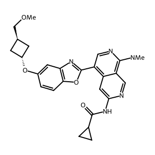 CNc1ncc(-c2nc3cc(O[C@H]4C[C@H](COC)C4)ccc3o2)c2cc(NC(=O)C3CC3)ncc12